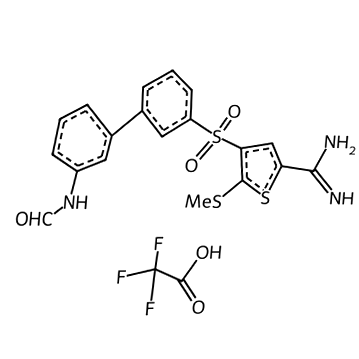 CSc1sc(C(=N)N)cc1S(=O)(=O)c1cccc(-c2cccc(NC=O)c2)c1.O=C(O)C(F)(F)F